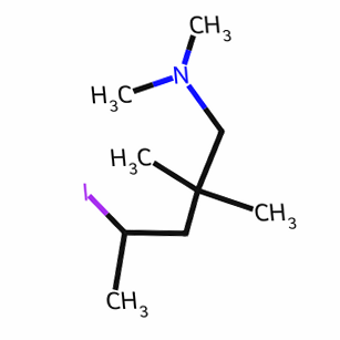 CC(I)CC(C)(C)CN(C)C